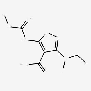 CC[S+]([O-])c1nsc(NC(=O)NC)c1C(N)=O